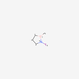 CB1CCCN1I